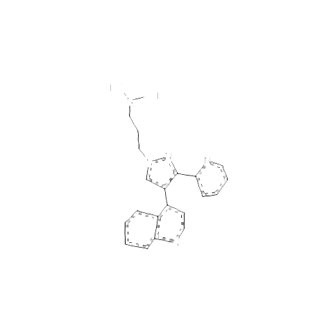 CN(C)CCCn1cc(-c2ccnc3ccccc23)c(-c2ccccn2)n1